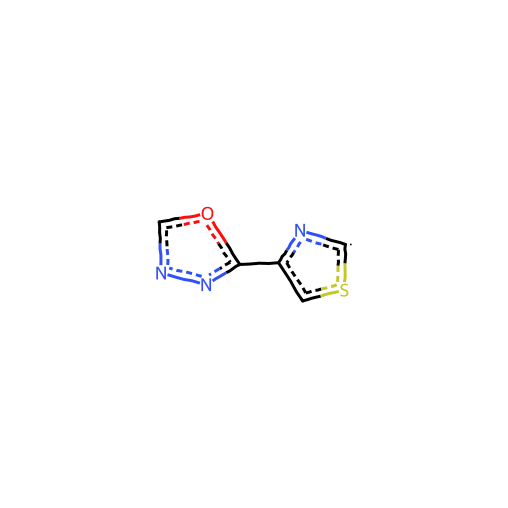 [c]1nc(-c2nnco2)cs1